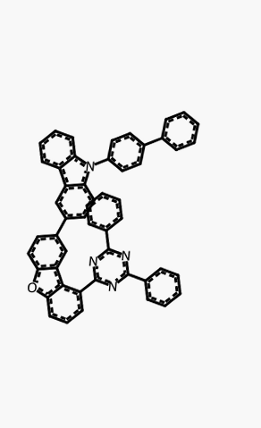 c1ccc(-c2ccc(-n3c4ccccc4c4cc(-c5ccc6oc7cccc(-c8nc(-c9ccccc9)nc(-c9ccccc9)n8)c7c6c5)ccc43)cc2)cc1